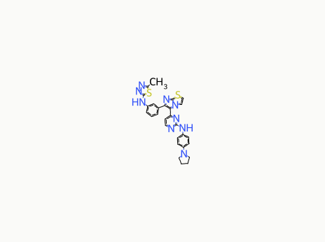 Cc1nnc(Nc2cccc(-c3nc4sccn4c3-c3ccnc(Nc4ccc(N5CCCC5)cc4)n3)c2)s1